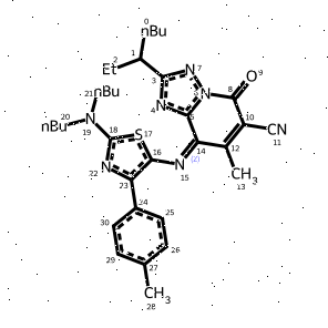 CCCCC(CC)c1nc2n(n1)C(=O)C(C#N)=C(C)/C2=N/c1sc(N(CCCC)CCCC)nc1-c1ccc(C)cc1